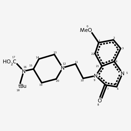 COc1ccc2ncc(=O)n(CCN3CCC(N(C(=O)O)C(C)(C)C)CC3)c2c1